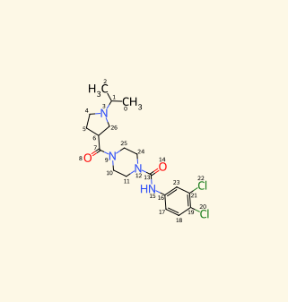 CC(C)N1CCC(C(=O)N2CCN(C(=O)Nc3ccc(Cl)c(Cl)c3)CC2)C1